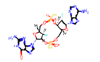 Nc1nc2c(ncn2[C@@H]2O[C@@H]3CO[P@@](=O)(S)O[C@H]4[C@H](F)[C@H](n5cnc6c(N)ncnc65)O[C@@H]4CO[P@@](=O)(S)O[C@@H]2[C@@H]3F)c(=O)[nH]1